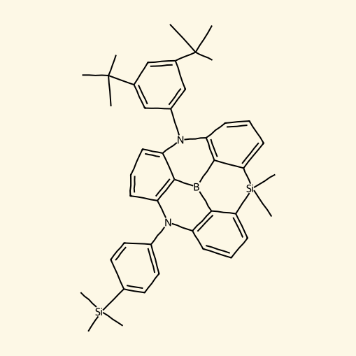 CC(C)(C)c1cc(N2c3cccc4c3B3c5c(cccc5[Si](C)(C)c5cccc2c53)N4c2ccc([Si](C)(C)C)cc2)cc(C(C)(C)C)c1